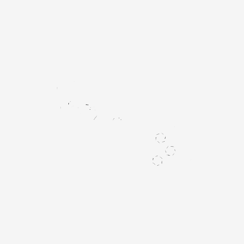 COc1ccc(C(OCCC(O)CCCCCNC(=O)OC2CC[C@@]3(C)C(=CCC4C3CC[C@@]3(C)C4CC[C@@H]3[C@H](C)CCCC(C)C)C2)(c2ccccc2)c2ccc(OC)cc2)cc1